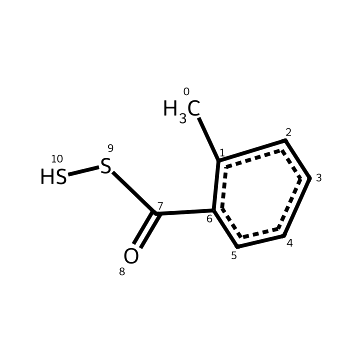 Cc1ccccc1C(=O)SS